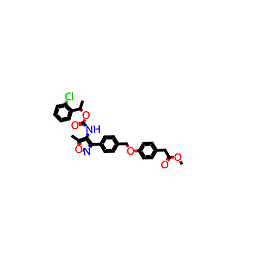 COC(=O)Cc1ccc(OCc2ccc(-c3noc(C)c3NC(=O)OC(C)c3ccccc3Cl)cc2)cc1